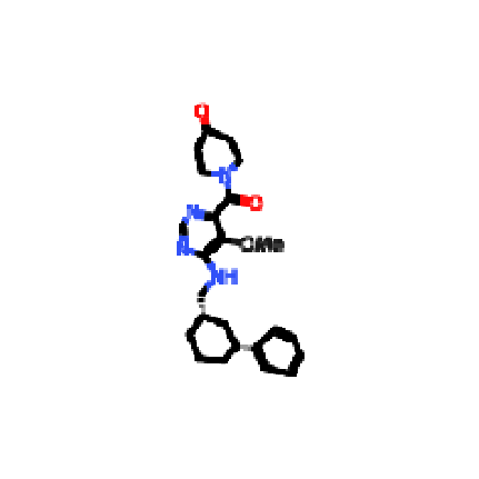 COc1c(NC[C@H]2CCC[C@@H](c3ccccc3)C2)ncnc1C(=O)N1CCC(=O)CC1